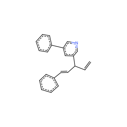 C=CC(/C=C/c1ccccc1)c1cncc(-c2ccccc2)c1